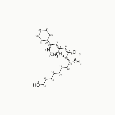 C\N=C(/C=C(C)/C=C(C)\C=C(/C)CCCCCCCO)C1CCCCC1